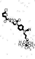 CC(C)(C)[Si](C)(C)OCCCN(C#N)c1ccc(N2C[C@H](CNC(=O)c3ccc(Cl)s3)OC2=O)cc1